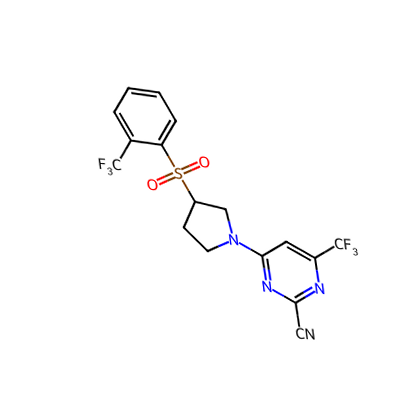 N#Cc1nc(N2CCC(S(=O)(=O)c3ccccc3C(F)(F)F)C2)cc(C(F)(F)F)n1